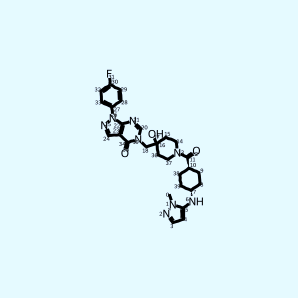 Cn1nccc1N[C@H]1CC[C@H](C(=O)N2CCC(O)(Cn3cnc4c(cnn4-c4ccc(F)cc4)c3=O)CC2)CC1